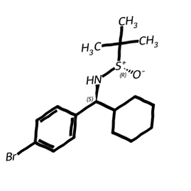 CC(C)(C)[S@+]([O-])N[C@H](c1ccc(Br)cc1)C1CCCCC1